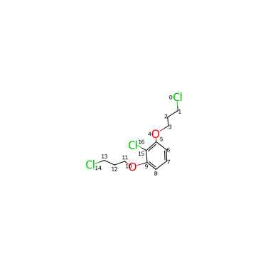 ClCCCOc1cccc(OCCCCl)c1Cl